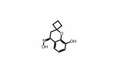 O/N=C1/CC2(CCC2)Oc2c(O)cccc21